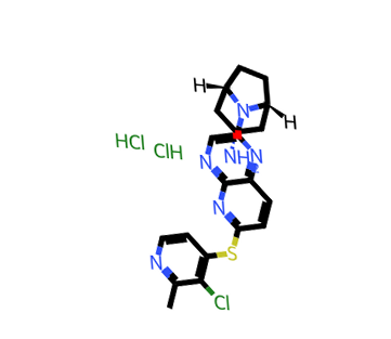 Cc1nccc(Sc2ccc3nc(N4[C@@H]5CC[C@H]4C[C@@H](N)C5)cnc3n2)c1Cl.Cl.Cl